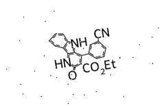 CCOC(=O)c1c(-c2cccc(C#N)c2)c2[nH]c3ccccc3c2[nH]c1=O